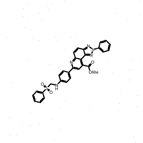 COC(=O)c1cc(-c2ccc(NCS(=O)(=O)c3ccccc3)cc2)nc2ccc3nn(-c4ccccc4)nc3c12